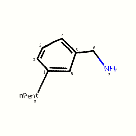 CCCCCc1cccc(C[NH])c1